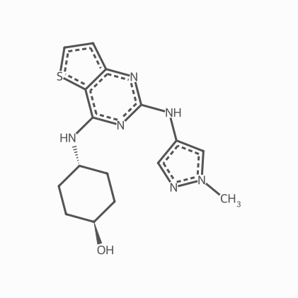 Cn1cc(Nc2nc(N[C@H]3CC[C@H](O)CC3)c3sccc3n2)cn1